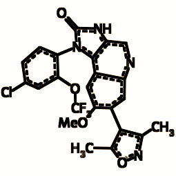 COc1cc2c(cc1-c1c(C)noc1C)ncc1[nH]c(=O)n(-c3ccc(Cl)cc3OC(F)(F)F)c12